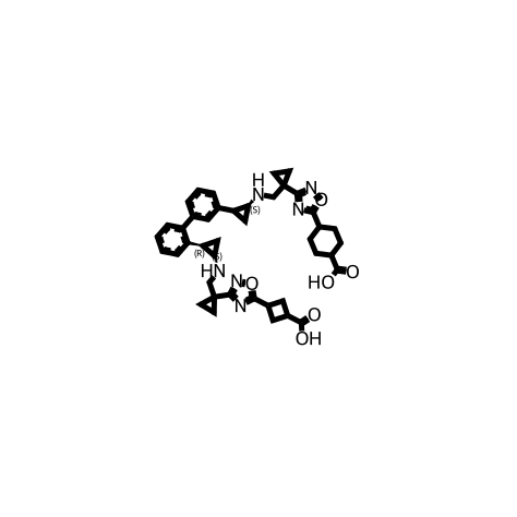 O=C(O)C1CCC(c2nc(C3(CN[C@H]4CC4c4cccc(-c5ccccc5[C@H]5C[C@@H]5NCC5(c6noc(C7CC(C(=O)O)C7)n6)CC5)c4)CC3)no2)CC1